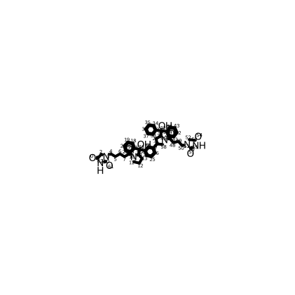 O=C1CN(CCCCC(=O)N2CCCC2[C@@](O)(c2ccccc2)c2cccc(C3CC(C(O)(c4ccccc4)c4ccccc4)N(C(=O)CCCN4CC(=O)NC4=O)C3)c2)C(=O)N1